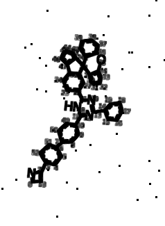 C1=NC(c2ccc(-c3ccc(C4=NC(c5ccccc5)=NC(c5ccc6c(c5)C5(c7ccccc7Oc7ccccc75)c5ccccc5-6)N4)cc3)cc2)=C1